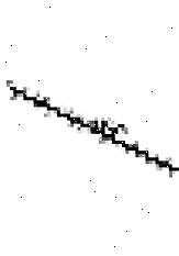 CCCCC=CCCCCCCC(CCCCCCCCCCCCCCCCCC)C(=O)O